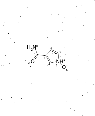 NC(=O)C1=C[NH+]([O-])C=C1